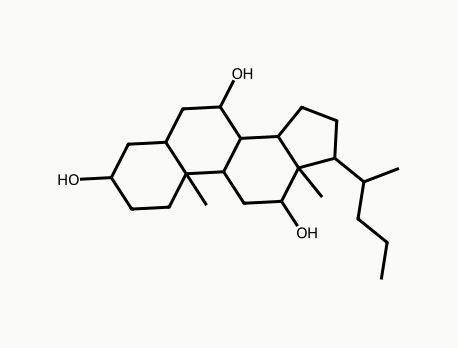 CCCC(C)C1CCC2C3C(O)CC4CC(O)CCC4(C)C3CC(O)C12C